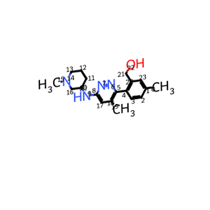 Cc1ccc(-c2nnc(N[C@@H]3CCCN(C)C3)cc2C)c(CO)c1